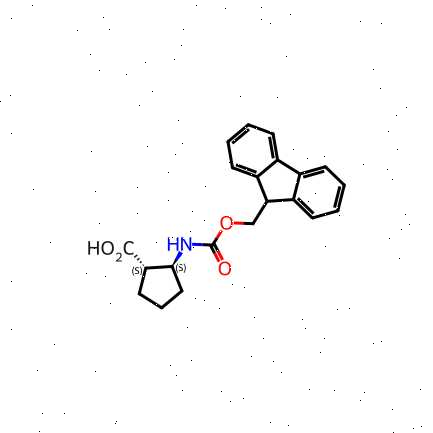 O=C(N[C@H]1CCC[C@@H]1C(=O)O)OCC1c2ccccc2-c2ccccc21